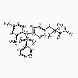 CCCOC(=O)C(C)(C)Cc1ccc(N(c2ncc(C)nc2OC)S(=O)(=O)c2cccnc2)cc1